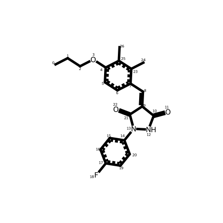 CCCOc1ccc(/C=C2/C(=O)NN(c3ccc(F)cc3)C2=O)c(C)c1C